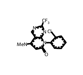 CNc1cc(=O)n(-c2ccccc2Cl)c2nc(C(F)(F)F)ncc12